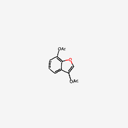 CC(=O)Oc1coc2c(OC(C)=O)cccc12